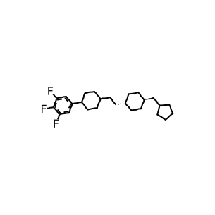 Fc1cc(C2CCC(CC[C@H]3CC[C@H](CC4CCCC4)CC3)CC2)cc(F)c1F